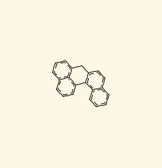 c1ccc2c3c(ccc2c1)Cc1cccc2cccc-3c12